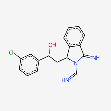 N=CN1C(=N)c2ccccc2C1CC(O)c1cccc(Cl)c1